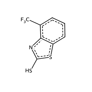 FC(F)(F)c1cccc2sc(S)nc12